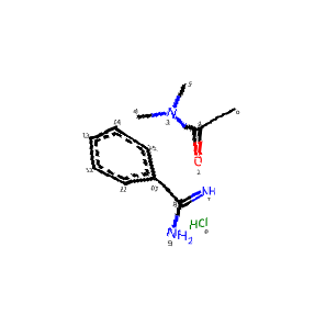 CC(=O)N(C)C.Cl.N=C(N)c1ccccc1